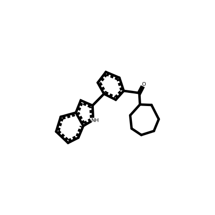 O=C(c1cccc(-c2cc3ccccc3[nH]2)c1)C1CCCCCC1